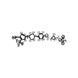 CS(=O)(=O)OC[C@H]1C[C@H](COc2ccc(C3CCN(c4ccc(C#N)c(C(F)(F)F)c4)CC3)cc2)C1